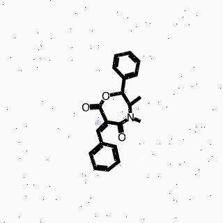 CC1C(c2ccccc2)OC(=O)/C(=C/c2ccccc2)C(=O)N1C